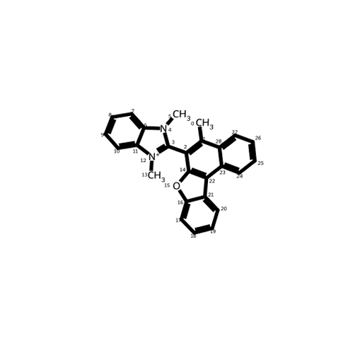 Cc1c(-c2n(C)c3ccccc3[n+]2C)c2oc3ccccc3c2c2ccccc12